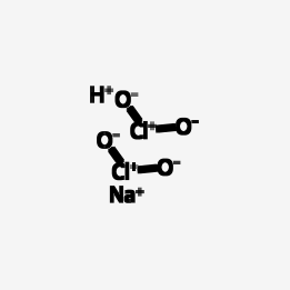 [H+].[Na+].[O-][Cl+][O-].[O-][Cl+][O-]